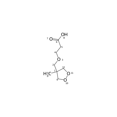 CC1(COCCC(=O)O)COOC1